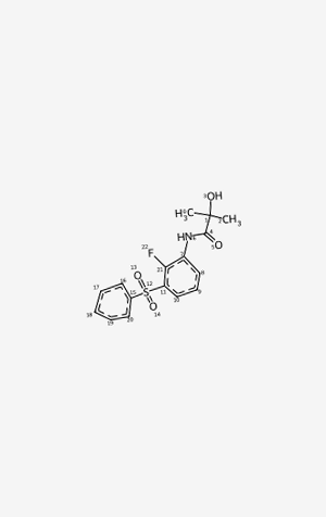 CC(C)(O)C(=O)Nc1cccc(S(=O)(=O)c2ccccc2)c1F